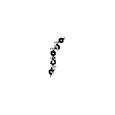 O=S(=O)(c1ccc(Nc2nccc(Nc3ccc(F)cc3)n2)cc1)N1CCC(NCc2ccc(F)nc2F)CC1